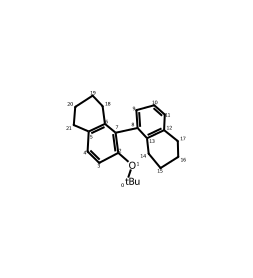 CC(C)(C)Oc1ccc2c(c1-c1cccc3c1CCCC3)CCCC2